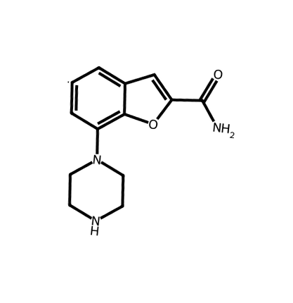 NC(=O)c1cc2c[c]cc(N3CCNCC3)c2o1